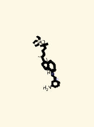 CC[Si](CC)(CC)OC(C)(C)CCC[C@@H](C)C1CC[C@H]2/C(=C/C=C3/CCC[C@H](N)C3)CCC[C@]12C